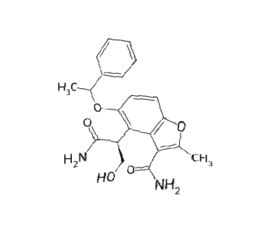 Cc1oc2ccc(OC(C)c3ccccc3)c([C@@H](CO)C(N)=O)c2c1C(N)=O